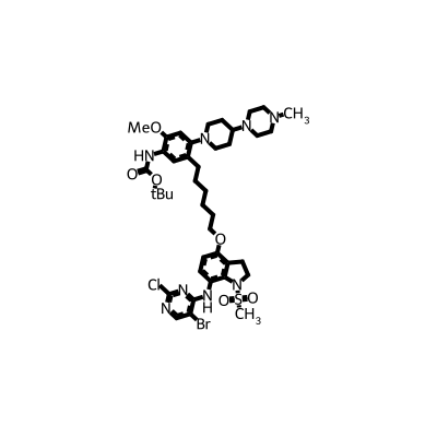 COc1cc(N2CCC(N3CCN(C)CC3)CC2)c(CCCCCCOc2ccc(Nc3nc(Cl)ncc3Br)c3c2CCN3S(C)(=O)=O)cc1NC(=O)OC(C)(C)C